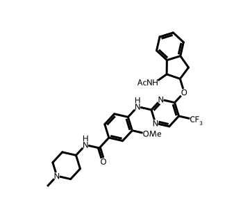 COc1cc(C(=O)NC2CCN(C)CC2)ccc1Nc1ncc(C(F)(F)F)c(OC2Cc3ccccc3C2NC(C)=O)n1